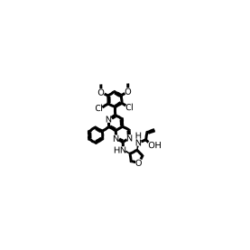 C=CC(O)N[C@H]1COC[C@H]1Nc1ncc2cc(-c3c(Cl)c(OC)cc(OC)c3Cl)nc(-c3ccccc3)c2n1